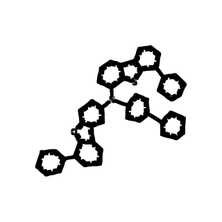 c1ccc(-c2ccc(N(c3ccc4oc5c(-c6ccccc6)cccc5c4c3)c3cccc4c3sc3c(-c5ccccc5)cccc34)cc2)cc1